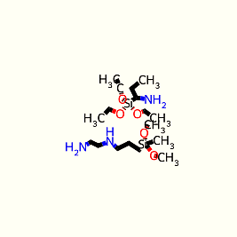 CCO[Si](OCC)(OCC)C(N)CC.CO[Si](C)(CCCNCCN)OC